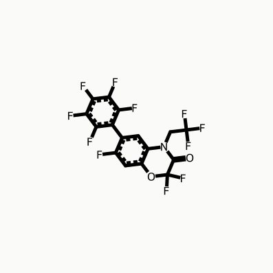 O=C1N(CC(F)(F)F)c2cc(-c3c(F)c(F)c(F)c(F)c3F)c(F)cc2OC1(F)F